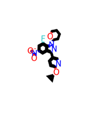 O=[N+]([O-])c1cc(F)c2c(c1)c(-c1ccc(OC3CC3)nc1)nn2C1CCCCO1